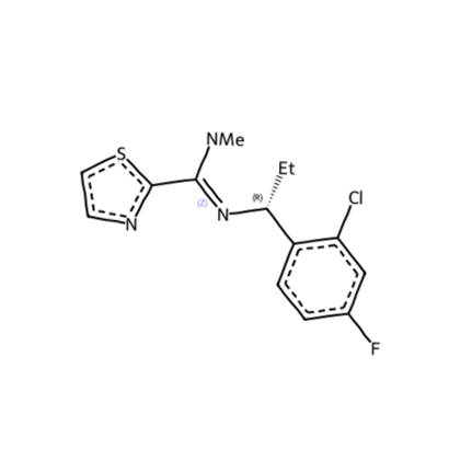 CC[C@@H](/N=C(\NC)c1nccs1)c1ccc(F)cc1Cl